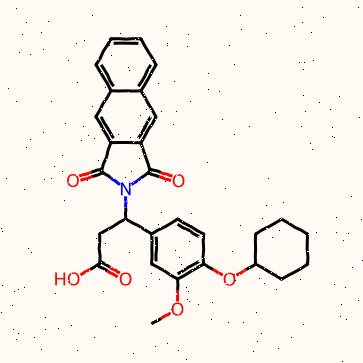 COc1cc(C(CC(=O)O)N2C(=O)c3cc4ccccc4cc3C2=O)ccc1OC1CCCCC1